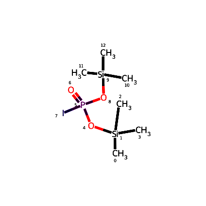 C[Si](C)(C)OP(=O)(I)O[Si](C)(C)C